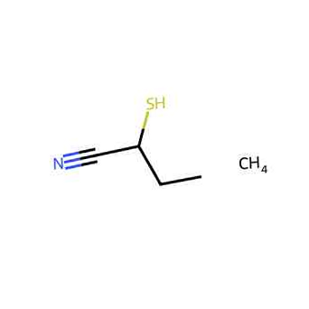 C.CCC(S)C#N